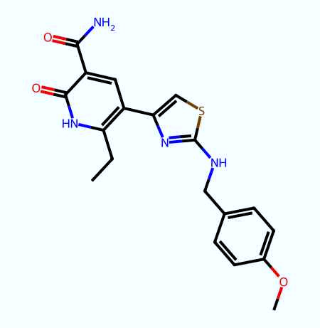 CCc1[nH]c(=O)c(C(N)=O)cc1-c1csc(NCc2ccc(OC)cc2)n1